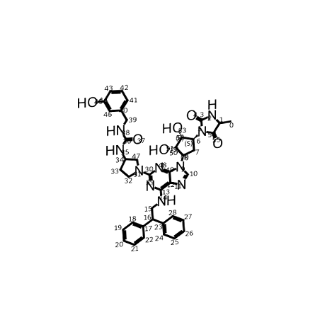 CC1NC(=O)N([C@H]2C[C@@H](n3cnc4c(NCC(c5ccccc5)c5ccccc5)nc(N5CCC(NC(=O)NCc6cccc(O)c6)C5)nc43)[C@H](O)[C@@H]2O)C1=O